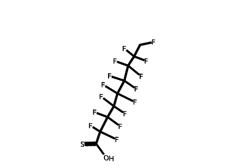 OC(=S)C(F)(F)C(F)(F)C(F)(F)C(F)(F)C(F)(F)C(F)(F)C(F)(F)CF